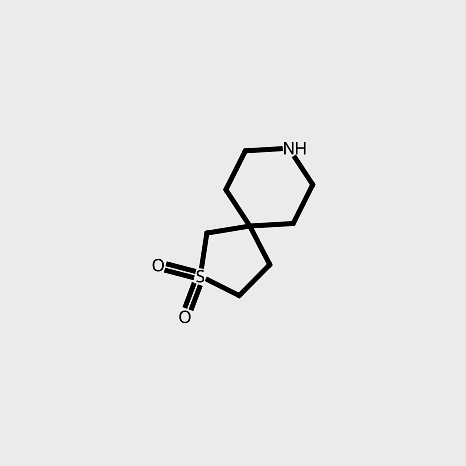 O=S1(=O)CCC2(CCNCC2)C1